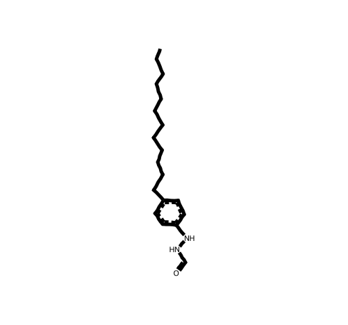 CCCCCCCCCCCCc1ccc(NNC=O)cc1